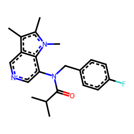 Cc1c(C)n(C)c2c(N(Cc3ccc(F)cc3)C(=O)C(C)C)cncc12